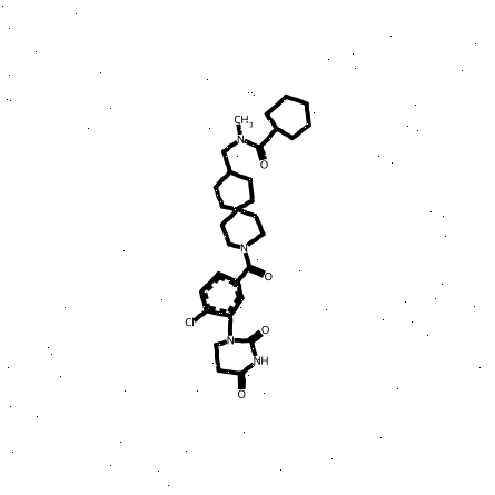 CN(CC1CCC2(CC1)CCN(C(=O)c1ccc(Cl)c(N3CCC(=O)NC3=O)c1)CC2)C(=O)C1CCCCC1